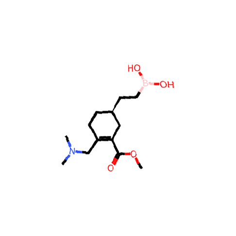 COC(=O)C1=C(CN(C)C)CC[C@@H](CCB(O)O)C1